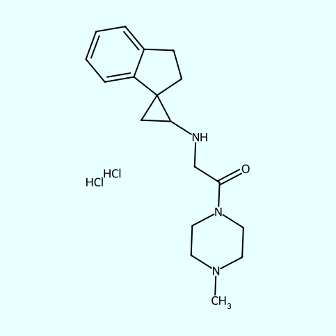 CN1CCN(C(=O)CNC2CC23CCc2ccccc23)CC1.Cl.Cl